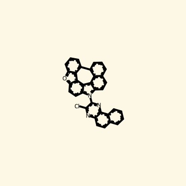 Clc1nc2ccc3ccccc3c2nc1-n1c2ccc3cccc4c3c2c2c3c(ccc21)oc1cccc-4c13